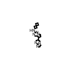 c1cn2cc(-c3ccn4nc(NC5CC6(CCC6)C5)ncc34)cnc2n1